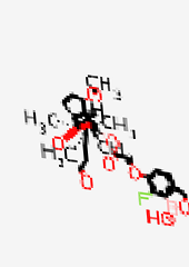 CO[C@@H]1CC[C@@]23CC[C@@H](C)[C@@](C)([C@H](OC(=O)COc4ccc5c(c4F)B(O)OC5)C[C@@](C)(CC=O)C(=O)[C@@H]2C)[C@@H]13